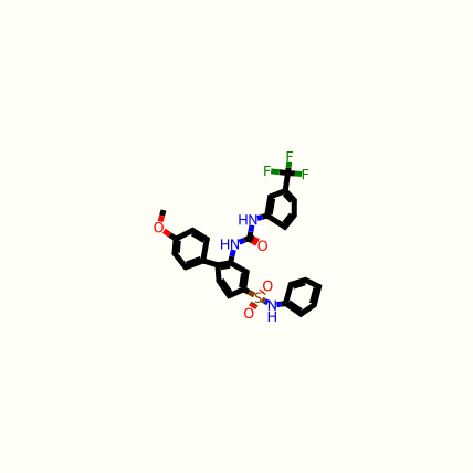 COc1ccc(-c2ccc(S(=O)(=O)Nc3ccccc3)cc2NC(=O)Nc2cccc(C(F)(F)F)c2)cc1